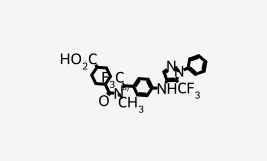 CN(C(=O)C1CCC(C(=O)O)CC1)[C@@H](c1ccc(Nc2cnn(-c3ccccc3)c2C(F)(F)F)cc1)C(F)(F)F